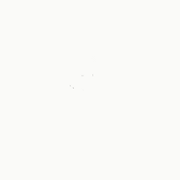 CC=C(C)C(=O)OCCCO.Cl.N